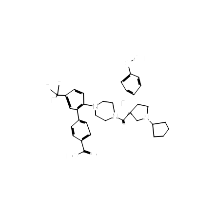 COc1ccc([C@@H]2CN(C3CCCC3)C[C@@]2(F)C(=O)N2CCN(c3ccc(C(F)(F)F)cc3-c3ccc(C(=O)O)cc3)CC2)cc1